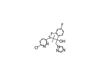 CC(C)(Sc1ccc(Cl)nn1)C(O)(Cn1cncn1)c1ccc(F)cc1F